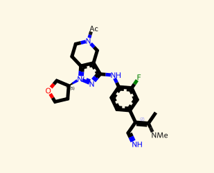 CN/C(C)=C(\C=N)c1ccc(Nc2nn([C@H]3CCOC3)c3c2CN(C(C)=O)CC3)c(F)c1